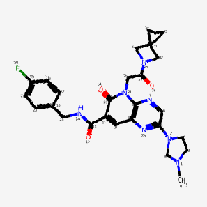 CN1CCN(c2cnc3c(cc(C(=O)NCc4ccc(F)cc4)c(=O)n3CC(=O)N3CC4(CC4)C3)n2)C1